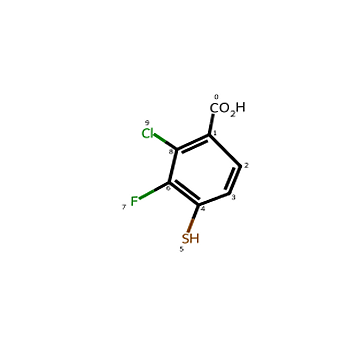 O=C(O)c1ccc(S)c(F)c1Cl